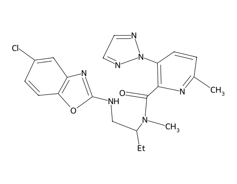 CCC(CNc1nc2cc(Cl)ccc2o1)N(C)C(=O)c1nc(C)ccc1-n1nccn1